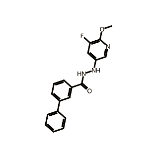 COc1ncc(NNC(=O)c2cccc(-c3ccccc3)c2)cc1F